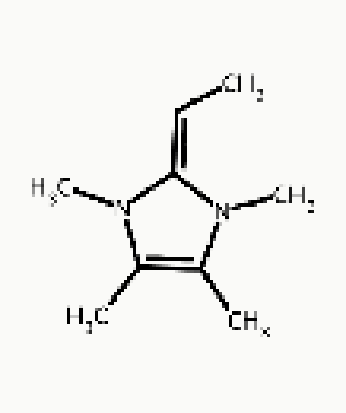 CC=C1N(C)C(C)=C(C)N1C